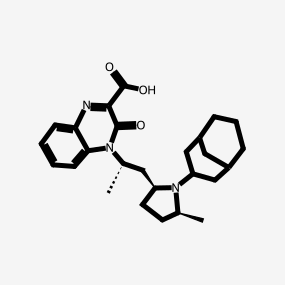 C[C@H]1CC[C@@H](C[C@H](C)n2c(=O)c(C(=O)O)nc3ccccc32)N1C1CC2CCCC(C2)C1